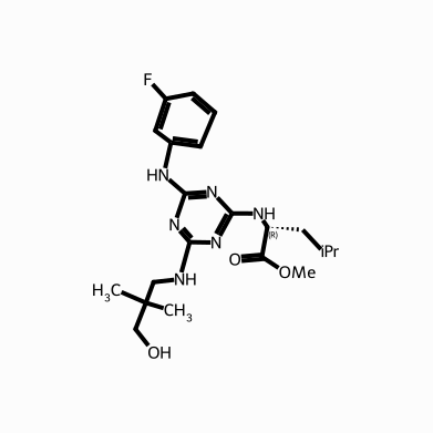 COC(=O)[C@@H](CC(C)C)Nc1nc(NCC(C)(C)CO)nc(Nc2cccc(F)c2)n1